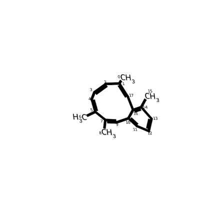 Cc1cccc(C)c(C)cc2cccc(C)c2c1